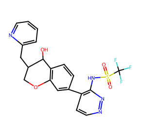 O=S(=O)(Nc1nnccc1-c1ccc2c(c1)OCC(Cc1ccccn1)C2O)C(F)(F)F